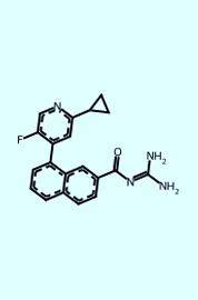 NC(N)=NC(=O)c1ccc2cccc(-c3cc(C4CC4)ncc3F)c2c1